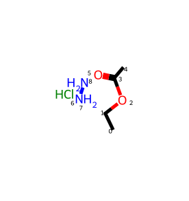 CCOC(C)=O.Cl.NN